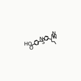 CCCC(c1ccc2nc(-c3ccc(C(=O)O)cc3)sc2c1)n1cncn1